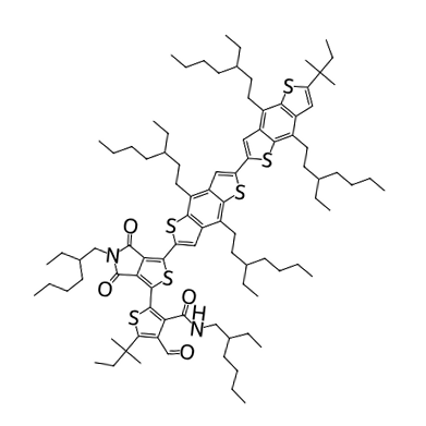 CCCCC(CC)CCc1c2cc(-c3sc(-c4sc(C(C)(C)CC)c(C=O)c4C(=O)NCC(CC)CCCC)c4c3C(=O)N(CC(CC)CCCC)C4=O)sc2c(CCC(CC)CCCC)c2cc(-c3cc4c(CCC(CC)CCCC)c5sc(C(C)(C)CC)cc5c(CCC(CC)CCCC)c4s3)sc12